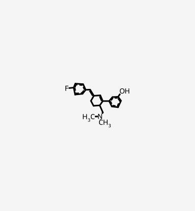 CN(C)CC1CC/C(=C\c2ccc(F)cc2)C=C1c1cccc(O)c1